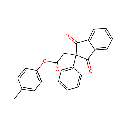 Cc1ccc(OC(=O)CC2(c3ccccc3)C(=O)c3ccccc3C2=O)cc1